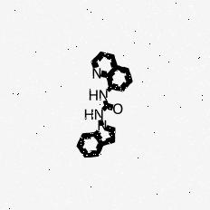 O=C(Nc1cccc2cccnc12)Nn1ccc2ccccc21